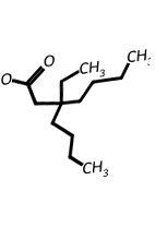 CCCCC(CC)(CCCC)CC(=O)O